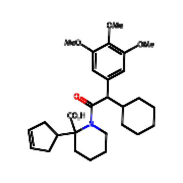 COc1cc(C(C(=O)N2CCCCC2(C(=O)O)C2CC=CC2)C2CCCCC2)cc(OC)c1OC